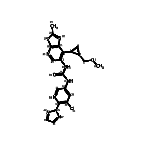 COC[C@@H]1CC1c1c(NC(=O)Nc2cnc(-n3nccn3)c(Cl)c2)cnc2sc(C)nc12